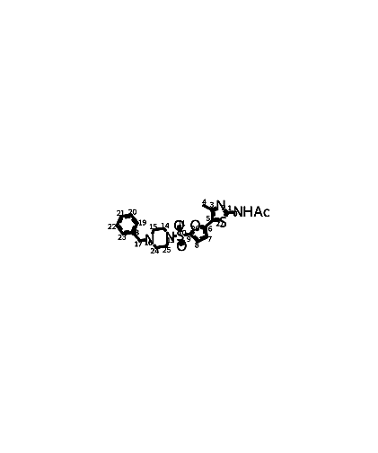 CC(=O)Nc1nc(C)c(-c2ccc(S(=O)(=O)N3CCN(Cc4ccccc4)CC3)o2)s1